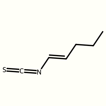 CCCC=CN=C=S